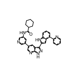 O=C(Nc1cncc(-c2cnc3[nH]nc(-c4cc5c(-c6ccccn6)cccc5[nH]4)c3c2)c1)C1CCCCC1